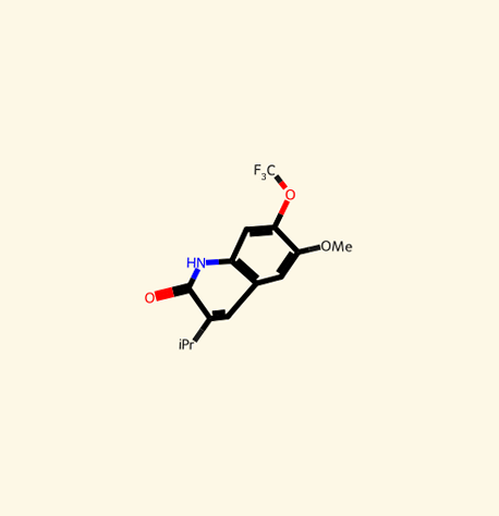 COc1cc2cc(C(C)C)c(=O)[nH]c2cc1OC(F)(F)F